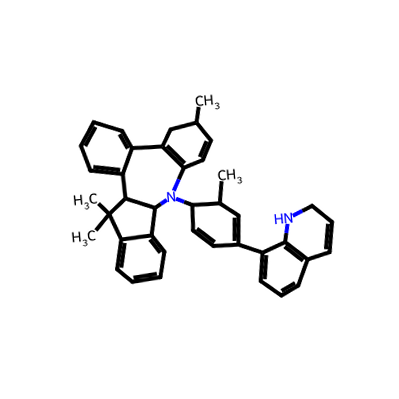 CC1C=CC2=C(C1)c1ccccc1C1C(c3ccccc3C1(C)C)N2C1C=CC(c2cccc3c2NCC=C3)=CC1C